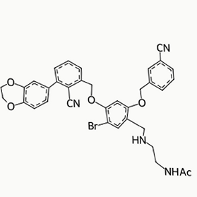 CC(=O)NCCNCc1cc(Br)c(OCc2cccc(-c3ccc4c(c3)OCCO4)c2C#N)cc1OCc1cccc(C#N)c1